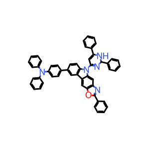 C1=C(c2ccccc2)NC(c2ccccc2)N=C1n1c2ccc(-c3ccc(N(c4ccccc4)c4ccccc4)cc3)cc2c2cc3oc(-c4ccccc4)nc3cc21